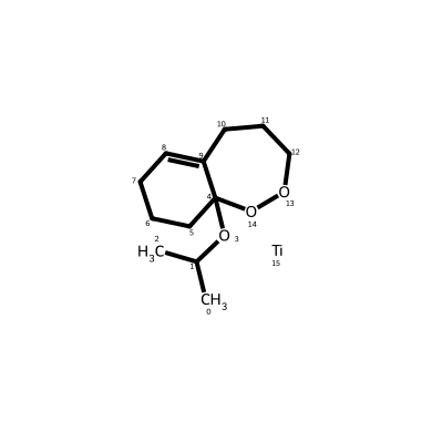 CC(C)OC12CCCC=C1CCCOO2.[Ti]